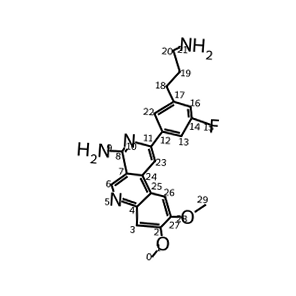 COc1cc2ncc3c(N)nc(-c4cc(F)cc(CCCN)c4)cc3c2cc1OC